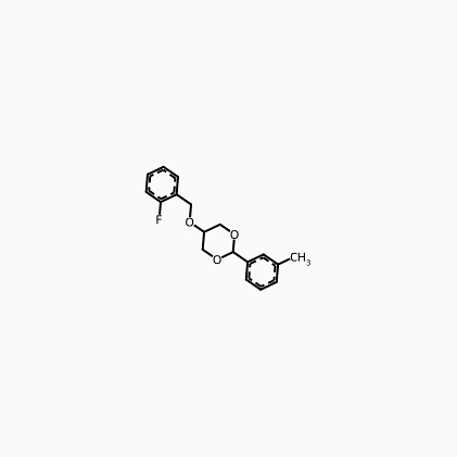 Cc1cccc(C2OCC(OCc3ccccc3F)CO2)c1